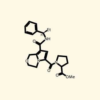 CC[C@@H](NC(=O)c1cc(C(=O)N2CCCC2C(=O)OC)n2c1COCC2)c1ccccc1